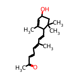 CC(=O)/C=C/C=C(C)/C=C/C1C(C)=CC(O)CC1(C)C